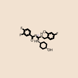 O=C(/N=C(/NCc1ccc(F)cc1Cl)N[C@H]1CC[C@H](O)CC1)c1ccc(F)c(F)c1